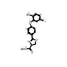 COC(=O)C1COC(c2ccc(Oc3cc(F)ccc3Br)cc2)=N1